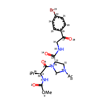 COC(=O)N[C@H](C(=O)N1CN(C(C)=O)C[C@H]1C(=O)NCC(=O)c1ccc(Br)cc1)C(C)C